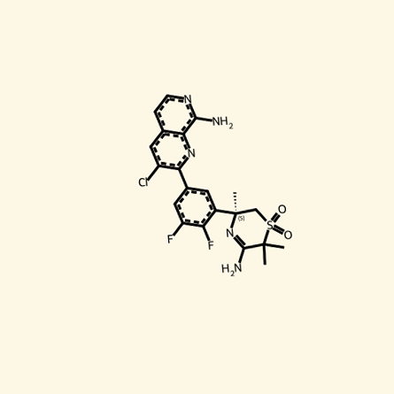 CC1(C)C(N)=N[C@@](C)(c2cc(-c3nc4c(N)nccc4cc3Cl)cc(F)c2F)CS1(=O)=O